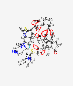 C=C[C@@]1(C)C[C@H](OC(=O)CSC2CC3CCC(C2)N3C)[C@@]2(C)C(C)CCC3(CCC(=O)C32)[C@H](C)[C@H]1OC(=O)c1ccccc1OC(=O)c1c2n(c3cc(N4CCNCC4)c(F)cc3c1=O)C(C)S2